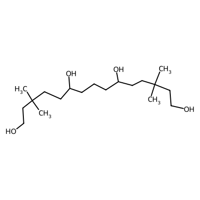 CC(C)(CCO)CCC(O)CCCC(O)CCC(C)(C)CCO